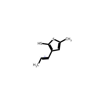 C/C=C/c1cc(C)sc1S